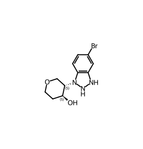 O[C@H]1CCOC[C@@H]1N1NNc2cc(Br)ccc21